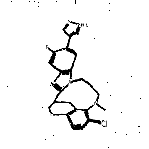 CN1CCCn2c(nc3cc(F)c(-c4cn[nH]c4)cc32)C2COc3ccc(Cl)c1c3C2